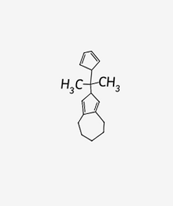 CC(C)(C1C=CC=C1)C1C=C2CCCCCC2=C1